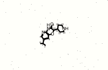 CC(C)c1cnc2c(c1)OC(C1CCNCC1)C(=O)N2